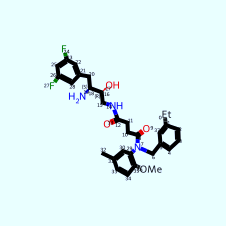 CCc1cccc(CN(C(=O)CCC(=O)NC[C@@H](O)[C@@H](N)Cc2cc(F)cc(F)c2)c2cc(C)ccc2OC)c1